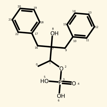 CC(OP(=O)(O)O)C(O)(Cc1ccccc1)Cc1ccccc1